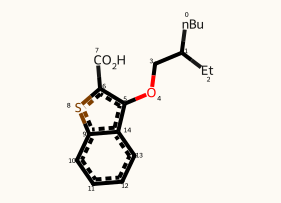 CCCCC(CC)COc1c(C(=O)O)sc2ccccc12